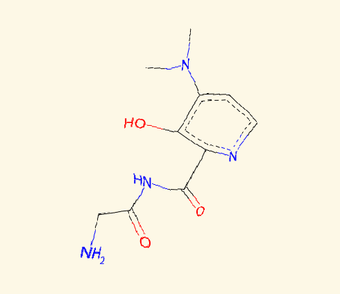 CN(C)c1ccnc(C(=O)NC(=O)CN)c1O